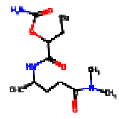 CN(C)C(=O)CC[C@@H](C=O)NC(=O)C(CC(C)(C)C)OC(N)=O